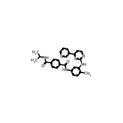 Cc1ccc(NC(=O)c2ccc(C(=O)NC(C)C)cc2)cc1Nc1nccc(-c2cccnc2)n1